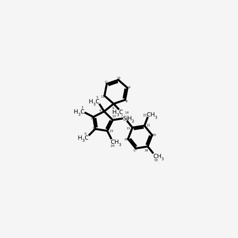 CC1=C(C)C(C)(C2(C)C=CC=CC2)C([SiH2]c2ccc(C)cc2C)=C1C